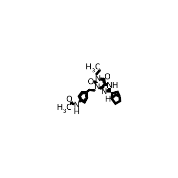 CCCn1c(=O)c2[nH]c([C@@H]3CC4CC[C@@H]3C4)nc2n(CCc2ccc(NC(C)=O)cc2)c1=O